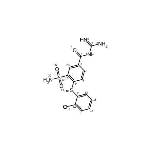 N=C(N)NC(=O)c1ccc(Sc2ccccc2Cl)c(S(N)(=O)=O)c1